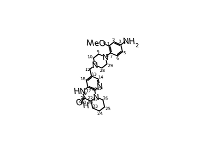 COc1cc(N)ccc1N1CCN(Cc2cnc3c(c2)NC(=O)[C@@H]2CCCCN32)CC1